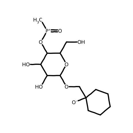 C[P+](=O)OC1C(CO)OC(OCC2([O-])CCCCC2)C(O)C1O